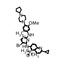 COc1cc(Nc2ncc(Br)c(Nc3ccc4nc(C5CC5)ccc4c3P(C)(C)=O)n2)c(C)cc1N1CCN(C2CCCC2)CC1